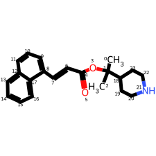 CC(C)(OC(=O)/C=C/c1cccc2ccccc12)C1CCNCC1